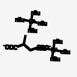 CC(CC(=O)[O-])C(=O)[O-].CCCC[N+](CCCC)(CCCC)CCCC.CCCC[N+](CCCC)(CCCC)CCCC